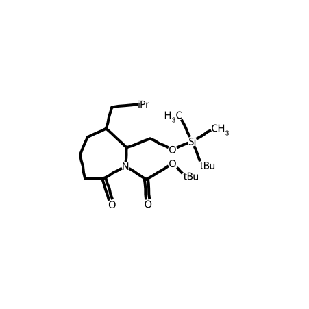 CC(C)CC1CCCC(=O)N(C(=O)OC(C)(C)C)C1CO[Si](C)(C)C(C)(C)C